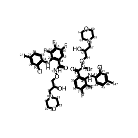 O=C(NOCC(O)CN1CCOCC1)c1cc(F)c(F)c(F)c1Nc1ccc(I)cc1Cl.O=C(c1ccc(F)c(F)c1Nc1ccc(I)cc1Cl)N(Br)OCC(O)CN1CCOCC1